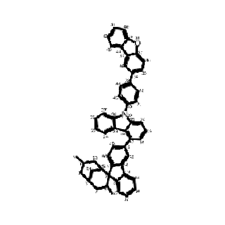 CC1CC2CC(C)C3(c4ccccc4-c4cc(-c5cccc6c5c5ccccc5n6-c5ccc(-c6ccc7oc8ccccc8c7c6)cc5)ccc43)C(C1)C2